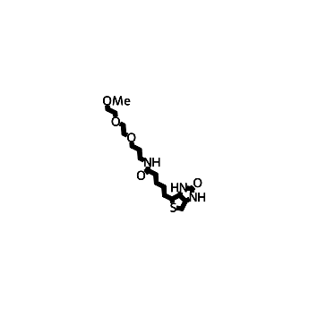 COCCOCCOCCCNC(=O)CCCCC1SCC2NC(=O)NC21